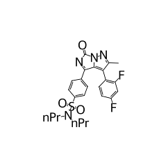 CCCN(CCC)S(=O)(=O)c1ccc(C2=NC(=O)n3nc(C)c(-c4ccc(F)cc4F)c32)cc1